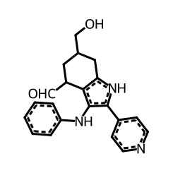 O=CC1CC(CO)Cc2[nH]c(-c3ccncc3)c(Nc3ccccc3)c21